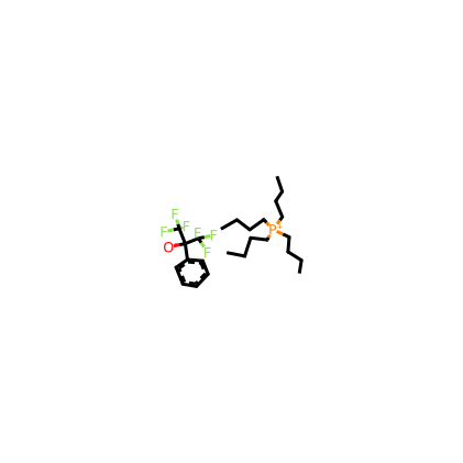 CCCC[P+](CCCC)(CCCC)CCCC.[O-]C(c1ccccc1)(C(F)(F)F)C(F)(F)F